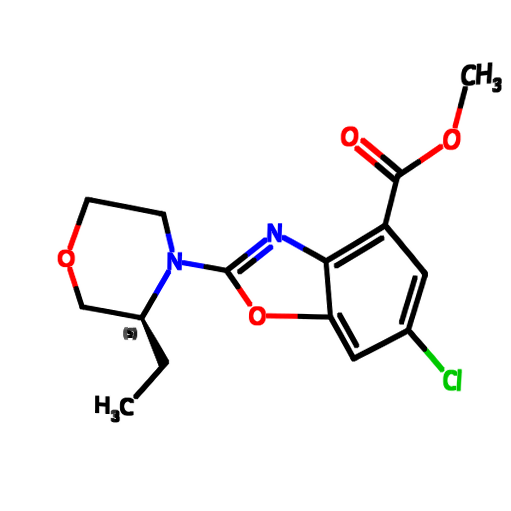 CC[C@H]1COCCN1c1nc2c(C(=O)OC)cc(Cl)cc2o1